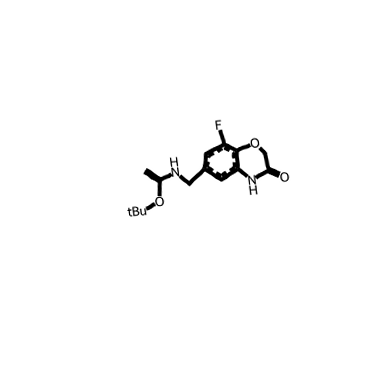 C=C(NCc1cc(F)c2c(c1)NC(=O)CO2)OC(C)(C)C